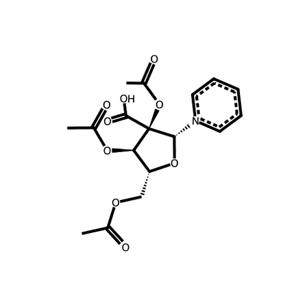 CC(=O)OC[C@H]1O[C@@H]([n+]2ccccc2)[C@@](OC(C)=O)(C(=O)O)[C@@H]1OC(C)=O